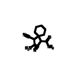 N#CC(C(N)=O)C1(C(C#N)C(N)=O)CCCCC1